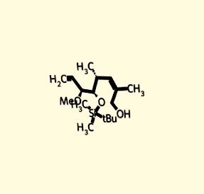 C=C[C@H](OC)[C@@H](O[Si](C)(C)C(C)(C)C)[C@H](C)/C=C(/C)CO